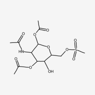 CC(=O)NC1C(OC(C)=O)OC(COS(C)(=O)=O)C(O)C1OC(C)=O